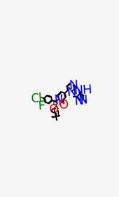 Cc1nn(C)cc1Nc1nccc(-c2ccn([C@H](CO[Si](C)(C)C(C)(C)C)c3ccc(Cl)c(F)c3)c(=O)c2)n1